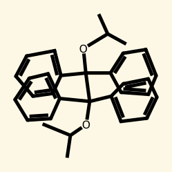 CC(C)OC(c1ccccc1)(c1ccccc1)C(OC(C)C)(c1ccccc1)c1ccccc1